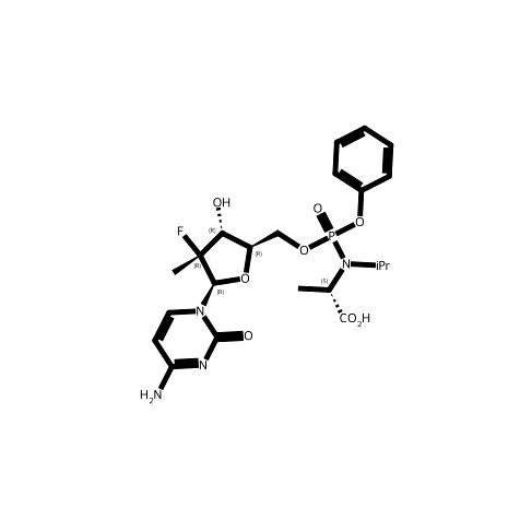 CC(C)N([C@@H](C)C(=O)O)P(=O)(OC[C@H]1O[C@@H](n2ccc(N)nc2=O)[C@](C)(F)[C@@H]1O)Oc1ccccc1